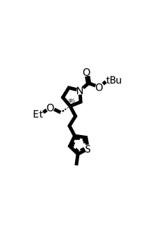 CCOC[C@]1(CCc2csc(C)c2)CCN(C(=O)OC(C)(C)C)C1